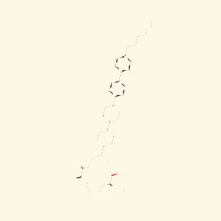 C=C(CO)C(=O)OCC(COC(=O)C(=C)CO)C1CCC(C2CCC(c3c(F)cc(-c4c(F)cc(CCCCC)cc4F)cc3F)CC2)CC1